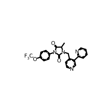 CC1C(=O)N(c2ccc(OC(F)(F)F)cc2)C(=O)N1Cc1ccncc1-c1ccccn1